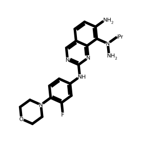 CC(C)N(N)c1c(N)ccc2cnc(Nc3ccc(N4CCOCC4)c(F)c3)nc12